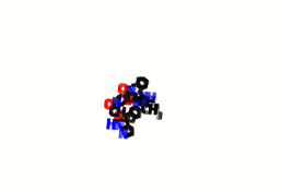 CNCc1ccccc1CN(CC(=O)Nc1cc2c(cc1C)CC1(C2)C(=O)Nc2ncccc21)C(=O)C1(C)CCN(C(C)=O)CC1